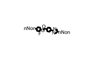 CCCCCCCCCc1cnc(-c2ccc(C(=O)Oc3ccc(CCCCCCCCC)cc3F)cc2)nc1